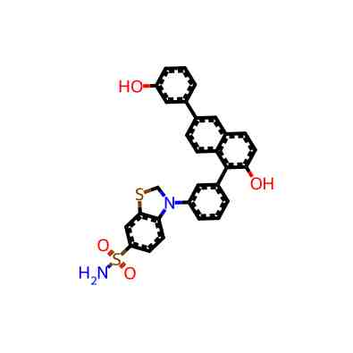 NS(=O)(=O)c1ccc2c(c1)SCN2c1cccc(-c2c(O)ccc3cc(-c4cccc(O)c4)ccc23)c1